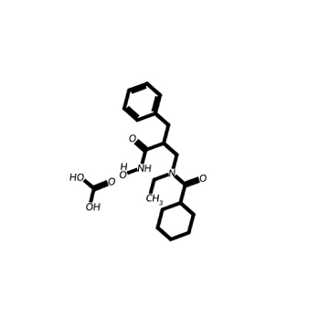 CCN(CC(Cc1ccccc1)C(=O)NO)C(=O)C1CCCCC1.O=C(O)O